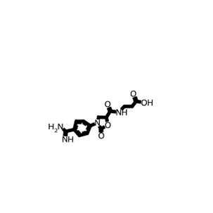 N=C(N)c1ccc(N2CC(C(=O)NCCC(=O)O)OC2=O)cc1